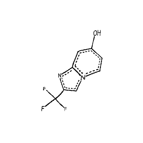 Oc1ccn2cc(C(F)(F)F)nc2c1